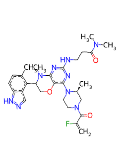 C=C(F)C(=O)N1CCN(c2nc(NCCC(=O)N(C)C)nc3c2OCC(c2c(C)ccc4[nH]ncc24)N3C)[C@@H](C)C1